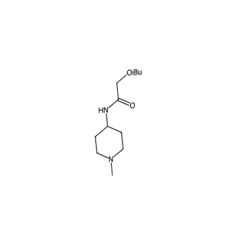 CC(C)COCC(=O)NC1CCN(C)CC1